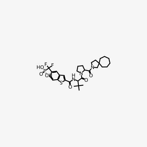 CC(C)(C)C(NC(=O)c1cc2cc(C(F)(F)P(=O)(O)O)ccc2s1)C(=O)N1CCCC1C(=O)N1CCC2(CCCCCC2)C1